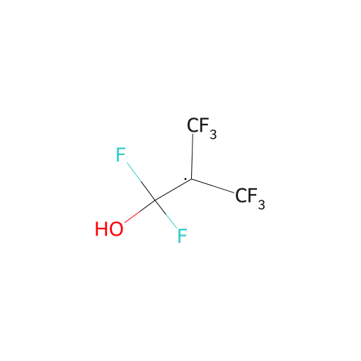 OC(F)(F)[C](C(F)(F)F)C(F)(F)F